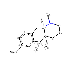 CCCN1CCC[C@@H]2[C@H]1Cc1ccc(OC)cc1C2(C)C